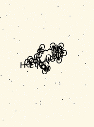 CC[C@@]1(O)C(=O)OCc2c1cc1n(c2=O)Cc2c-1nc1cc3c(cc1c2CNC(=O)COCNC(=O)[C@H](C)NC(=O)[C@H](C)NC(=O)[C@H](C)NC(=O)CCCCCN1C(=O)C=CC1=O)OCO3